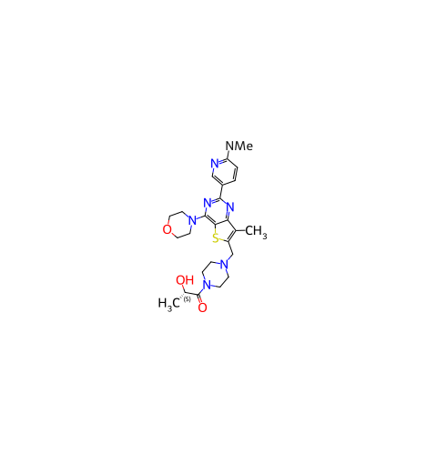 CNc1ccc(-c2nc(N3CCOCC3)c3sc(CN4CCN(C(=O)[C@H](C)O)CC4)c(C)c3n2)cn1